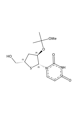 COC(C)(C)O[C@@H]1C[C@@H](CO)S[C@H]1n1ccc(=O)[nH]c1=O